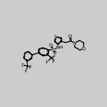 O=C(Cc1cscc1NS(=O)(=O)c1ccc(-c2cccc(C(F)(F)F)c2)cc1C(F)(F)F)N1CCOCC1